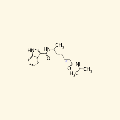 CC(C)NC(=O)/C=C/CCC(C)NC(=O)c1c[nH]c2ccccc12